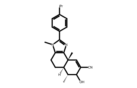 CC(C)c1ccc(-c2nc3c(n2C)CC[C@@H]2[C@@H](C)C(O)C(C#N)=C[C@@]32C)cc1